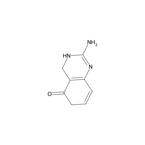 NC1=NC2=C(CN1)C(=O)CC=C2